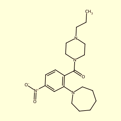 CCCN1CCN(C(=O)c2ccc([N+](=O)[O-])cc2N2CCCCCC2)CC1